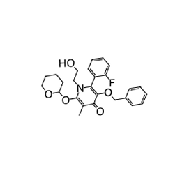 Cc1c(OC2CCCCO2)n(CCO)c(-c2ccccc2F)c(OCc2ccccc2)c1=O